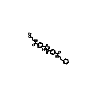 CCOCCNC(=O)c1ccc(C(=O)NS(=O)(=O)c2ccc(C(=O)NCCc3ccccc3)cc2)cn1